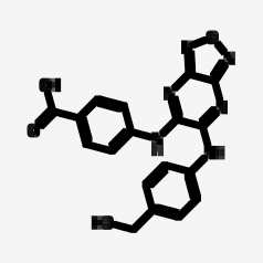 O=C(O)c1ccc(Nc2nc3nonc3nc2Nc2ccc(CO)cc2)cc1